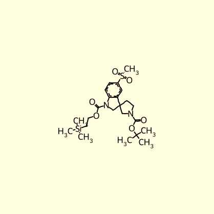 CC(C)(C)OC(=O)N1CCC2(C1)CN(C(=O)OCC[Si](C)(C)C)c1ccc(S(C)(=O)=O)cc12